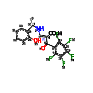 C[C@H](N/C=C(\C(=O)O)C(=O)c1c(F)c(F)c(F)c(F)c1F)c1ccccc1O